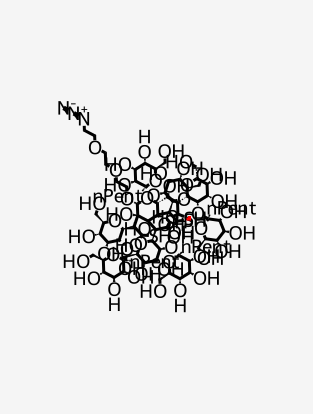 CCCCC[C@@]1(O[C@H]2[C@@H](O)[C@H](O)[C@@H](CO)O[C@H]2C(C(O)S)C(O)[C@H]2O[C@@H](OCCOCCOCCN=[N+]=[N-])[C@@](O)(C(C(O)S)[C@@H]3O[C@H](CO)[C@@H](O)[C@H](O)[C@@H]3O[C@]3(CCCCC)O[C@H](CO)[C@@H](O)[C@H](O)[C@@H]3O)[C@](O)(C(C(O)S)[C@@H]3O[C@H](CO)[C@@H](O)[C@H](O)[C@@H]3O[C@]3(CCCCC)O[C@H](CO)[C@@H](O)[C@H](O)[C@@H]3O)[C@@]2(O)C(C(O)S)[C@@H]2O[C@H](CO)[C@@H](O)[C@H](O)[C@@H]2O[C@]2(CCCCC)O[C@H](CO)[C@@H](O)[C@H](O)[C@@H]2O)O[C@H](CO)[C@@H](O)[C@H](O)[C@@H]1O